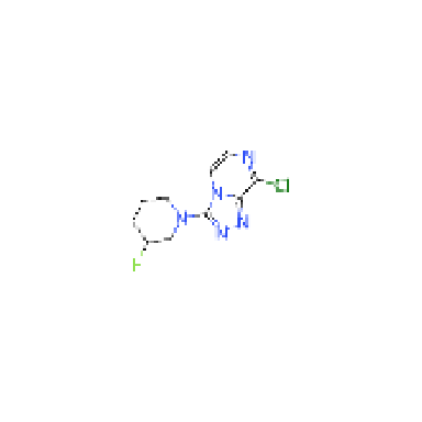 FC1CCCN(c2nnc3c(Cl)nccn23)C1